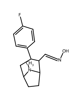 CN1C2CCC1C(/C=N/O)C(c1ccc(F)cc1)C2